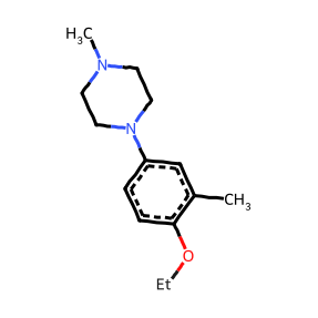 CCOc1ccc(N2CCN(C)CC2)cc1C